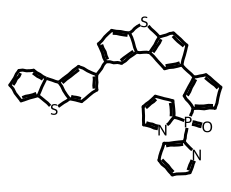 O=P(c1cccc(-c2ccc3sc4ccc(-c5ccc6sc7ccccc7c6c5)cc4c3c2)c1)(c1ccccn1)c1ccccn1